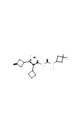 Cn1nc(C2CC(=O)C2)c(C2CCC2)c1NC(=O)NC1CC(F)(F)C1